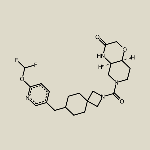 O=C1CO[C@H]2CCN(C(=O)N3CC4(CCC(Cc5ccc(OC(F)F)nc5)CC4)C3)C[C@H]2N1